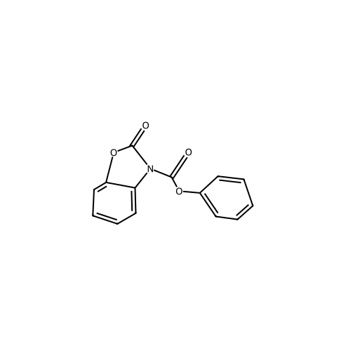 O=C(Oc1ccccc1)n1c(=O)oc2ccccc21